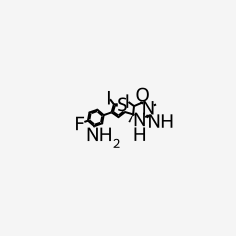 CN1C(=N)N[C@](C)(c2cc(-c3ccc(F)c(N)c3)c(I)s2)C(I)C1=O